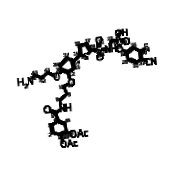 CC(=O)Oc1ccc(C(=O)NCCCOc2cc(-c3ccc(S(=O)(=O)NCP(=O)(O)Oc4ccc(C#N)c(F)c4)s3)ccc2OCCCN)cc1OC(C)=O